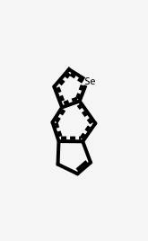 [c]1cc2cc3c(cc2[se]1)C=CC3